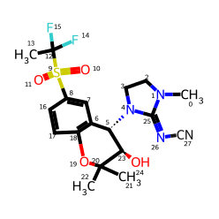 CN1CCN([C@H]2c3cc(S(=O)(=O)C(C)(F)F)ccc3OC(C)(C)[C@@H]2O)C1=NC#N